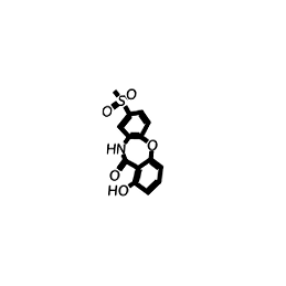 CS(=O)(=O)c1ccc2c(c1)NC(=O)c1c(O)cccc1O2